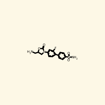 NCC1CN(c2ccc(-c3ccc(S(N)(=O)=O)cc3)c(F)c2)C(=O)O1